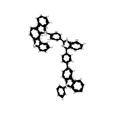 c1ccc(-n2c3ccccc3c3cc(-c4ccc(-c5nc(-c6ccc(-n7c8ccccc8c8ccc9oc%10ccccc%10c9c87)cc6)nc6ccccc56)cc4)ccc32)cc1